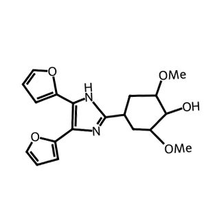 COC1CC(c2nc(-c3ccco3)c(-c3ccco3)[nH]2)CC(OC)C1O